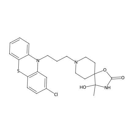 CC1(O)NC(=O)OC12CCN(CCCN1c3ccccc3Sc3ccc(Cl)cc31)CC2